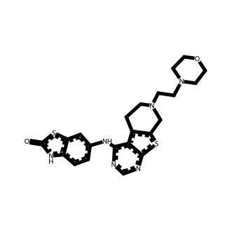 O=c1[nH]c2ccc(Nc3ncnc4sc5c(c34)CCN(CCN3CCOCC3)C5)cc2s1